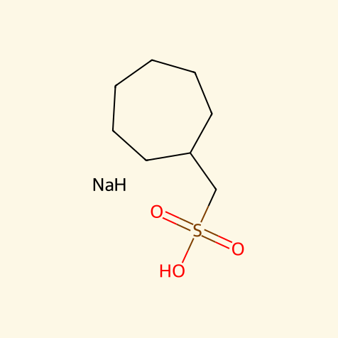 O=S(=O)(O)CC1CCCCCC1.[NaH]